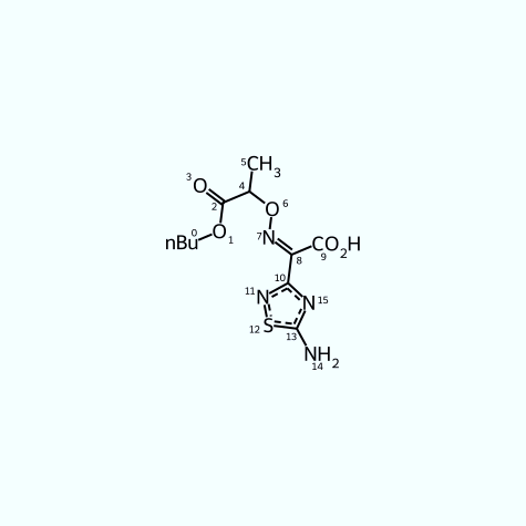 CCCCOC(=O)C(C)ON=C(C(=O)O)c1nsc(N)n1